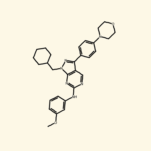 COc1cccc(Nc2ncc3c(-c4ccc(N5CCOCC5)cc4)nn(CC4CCCCC4)c3n2)c1